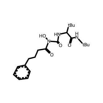 CC(C)(C)NC(=O)C(NC(=O)N(O)C(=O)CCCc1ccccc1)C(C)(C)C